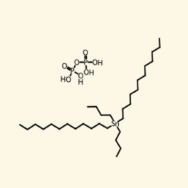 CCCCCCCCCCC[CH2][Sn]([CH2]CCC)([CH2]CCC)[CH2]CCCCCCCCCCC.O=P(O)(O)OP(=O)(O)O